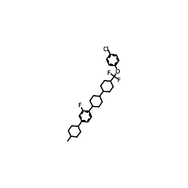 CC1CCC(c2ccc(C3CCC(C4CCC(C(F)(F)Oc5ccc(Cl)cc5)CC4)CC3)c(F)c2)CC1